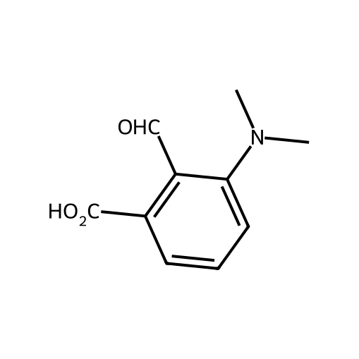 CN(C)c1cccc(C(=O)O)c1C=O